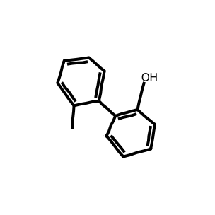 Cc1ccccc1-c1[c]cccc1O